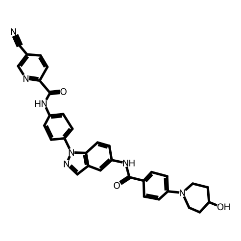 N#Cc1ccc(C(=O)Nc2ccc(-n3ncc4cc(NC(=O)c5ccc(N6CCC(O)CC6)cc5)ccc43)cc2)nc1